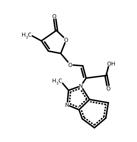 CC1=CC(O/C=C(/C(=O)O)n2c(C)nc3ccccc32)OC1=O